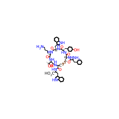 C[C@@H](O)[C@@H]1NC(=O)[C@H](CCCCN)NC(=O)[C@@H](Cc2c[nH]c3ccccc23)NC(=O)[C@H](Cc2ccc(O)cc2)NC(=O)[C@@H](NC(=O)[C@H](N)Cc2ccccc2)CSSC[C@@H](C(=O)N[C@@H](Cc2c[nH]c3ccccc23)C(=O)O)NC1=O